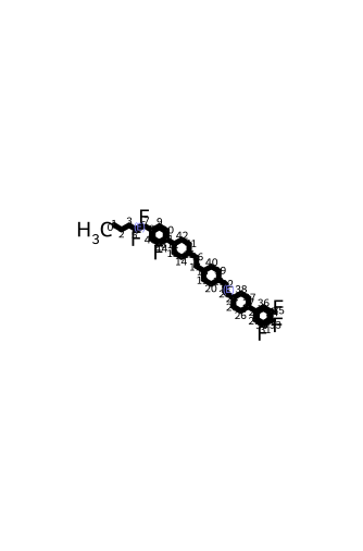 CCCC/C(F)=C(\F)c1ccc(C2CCC(CCC3CCC(/C=C/C4CCC(c5cc(F)c(F)c(F)c5)CC4)CC3)CC2)c(F)c1